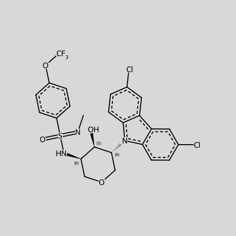 CN=S(=O)(N[C@@H]1COC[C@@H](n2c3ccc(Cl)cc3c3cc(Cl)ccc32)[C@@H]1O)c1ccc(OC(F)(F)F)cc1